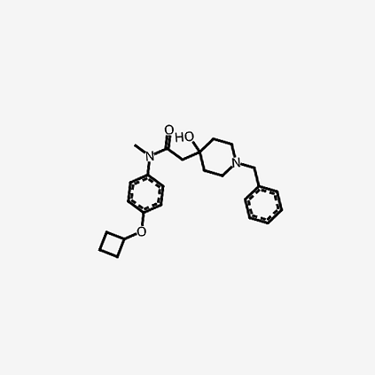 CN(C(=O)CC1(O)CCN(Cc2ccccc2)CC1)c1ccc(OC2CCC2)cc1